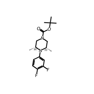 C[C@@H]1CN(C(=O)OC(C)(C)C)C[C@H](C)N1c1ccc(F)c(F)c1